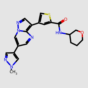 Cn1cc(-c2cnc3c(-c4csc(C(=O)NC5CCCOC5)c4)cnn3c2)cn1